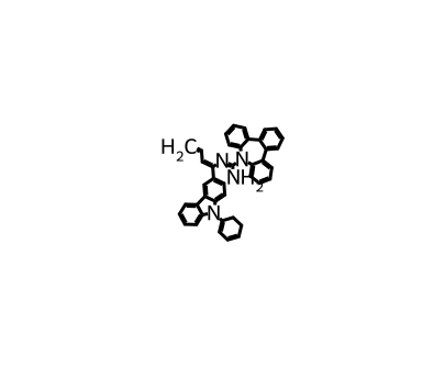 C=C/C=C(\N=C(/N)N1c2ccccc2-c2ccccc2-c2ccccc21)c1ccc2c(c1)c1ccccc1n2C1=CC=CCC1